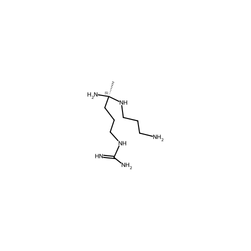 C[C@@](N)(CCCNC(=N)N)NCCCN